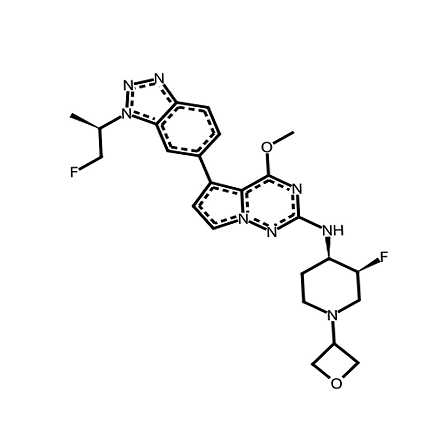 COc1nc(N[C@@H]2CCN(C3COC3)C[C@@H]2F)nn2ccc(-c3ccc4nnn([C@H](C)CF)c4c3)c12